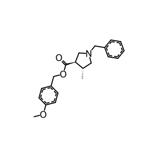 COc1ccc(COC(=O)[C@H]2CN(Cc3ccccc3)C[C@@H]2C)cc1